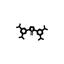 CC(C)c1cc(-c2ccc(-c3cc(C(C)C)cc(C(C)C)c3)[nH]2)cc(C(C)C)c1